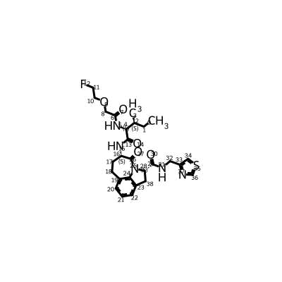 CC[C@H](C)[C@H](NC(=O)COCCF)C(=O)N[C@H]1CCc2cccc3c2N(C1=O)[C@H](C(=O)NCc1cscn1)C3